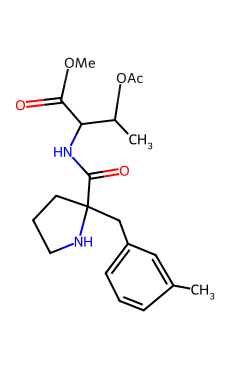 COC(=O)C(NC(=O)C1(Cc2cccc(C)c2)CCCN1)C(C)OC(C)=O